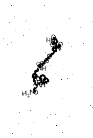 C[C@@H](OCc1ccc(CCCNC(=O)COCCOCCOCCCc2ccc3c(c2)n(C)c(=O)n3C2CCC(=O)NC2=O)cc1)[C@H](CCC(N)=O)NC[C@@H]1Cc2cccc3c2N1C(=O)CCC3